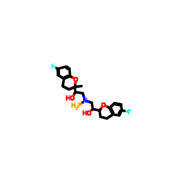 CC1(C(O)CN(P)CC(O)C2CCc3cc(F)ccc3O2)CCc2cc(F)ccc2O1